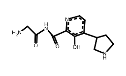 NCC(=O)NC(=O)c1nccc(C2CCNC2)c1O